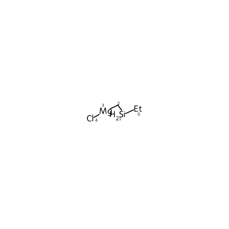 CC[SiH2][CH2][Mg][Cl]